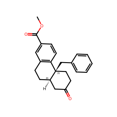 COC(=O)c1ccc2c(c1)CC[C@@H]1CC(=O)CC[C@@]21Cc1ccccc1